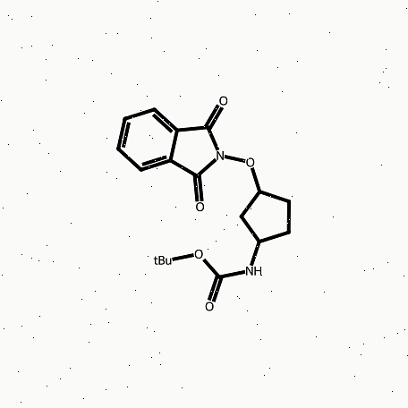 CC(C)(C)OC(=O)NC1CCC(ON2C(=O)c3ccccc3C2=O)C1